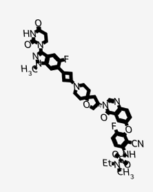 CCN(C)S(=O)(=O)Nc1ccc(F)c(Oc2ccc3ncn([C@@H]4COC5(CCN(C6CC(c7cc8c(cc7F)c(N7CCC(=O)NC7=O)nn8C)C6)CC5)C4)c(=O)c3c2)c1C#N